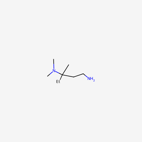 CCC(C)(CCN)N(C)C